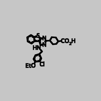 CCOc1ccc(CNc2nc(C3CCC(C(=O)O)CC3)nc3sc4ccccc4c23)cc1Cl